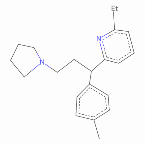 CCc1cccc(C(CCN2CCCC2)c2ccc(C)cc2)n1